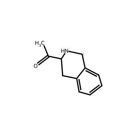 CC(=O)C1Cc2ccccc2[C]N1